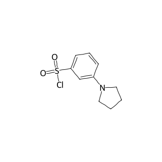 O=S(=O)(Cl)c1cccc(N2CCCC2)c1